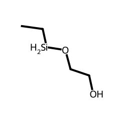 CC[SiH2]OCCO